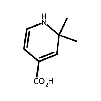 CC1(C)C=C(C(=O)O)C=CN1